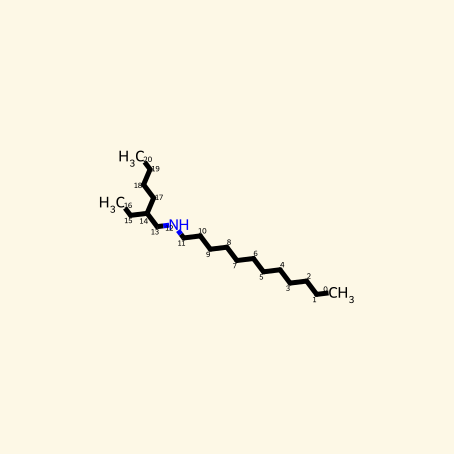 CCCCCCCCCCCCNCC(CC)CCCC